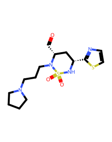 O=C[C@@H]1C[C@H](c2nccs2)NS(=O)(=O)N1CCCN1CCCC1